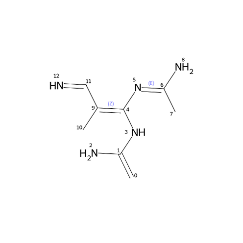 C=C(N)NC(/N=C(\C)N)=C(\C)C=N